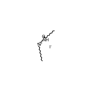 CCCCCCCCCC[N+](C)(C)CCCNC(=O)CCCCCCC.[I-]